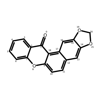 O=c1c2ccccc2oc2ccc3cc4c(cc3c12)OCO4